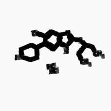 CCC(CC)Sc1nc2cc(Cl)c(C3CCNCC3)cc2[nH]1.Cl.Cl